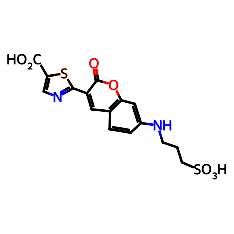 O=C(O)c1cnc(-c2cc3ccc(NCCCS(=O)(=O)O)cc3oc2=O)s1